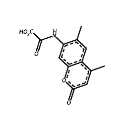 Cc1cc2c(C)cc(=O)oc2cc1NC(=O)C(=O)O